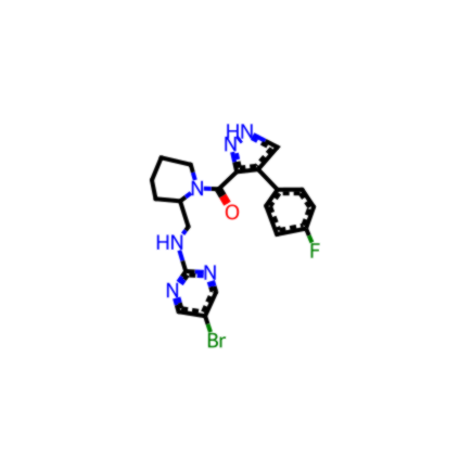 O=C(c1n[nH]cc1-c1ccc(F)cc1)N1CCCCC1CNc1ncc(Br)cn1